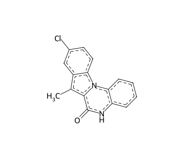 Cc1c2cc(Cl)ccc2n2c1c(=O)[nH]c1ccccc12